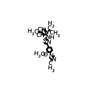 COc1cc(-c2csc(Nc3cc(C(C)(C)C)nn3C(C)C)n2)ccc1-n1cnc(C)c1